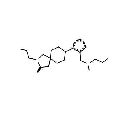 CNCCN(C)Cc1c[nH]nc1C1CCC2(CC1)CC(=O)N(CCC(C)C)C2